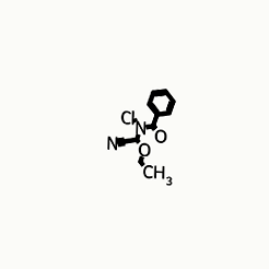 CCOC(C#N)N(Cl)C(=O)c1ccccc1